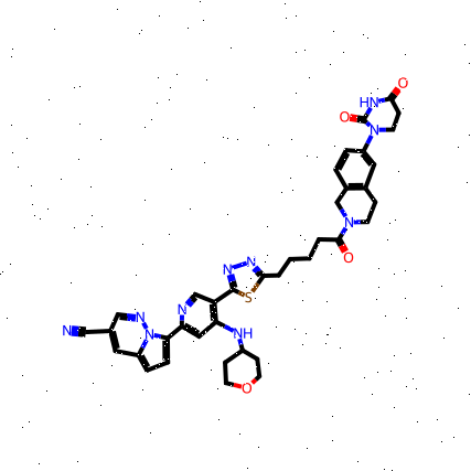 N#Cc1cnn2c(-c3cc(NC4CCOCC4)c(-c4nnc(CCCCC(=O)N5CCc6cc(N7CCC(=O)NC7=O)ccc6C5)s4)cn3)ccc2c1